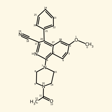 COc1ccc2c(N3CCN(C(C)=O)CC3)nc(C#N)c(-c3ccccc3)c2c1